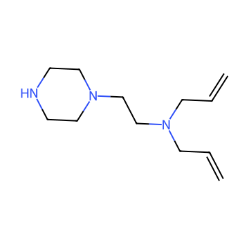 C=CCN(CC=C)CCN1CCNCC1